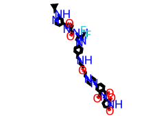 O=C1CCC(N2C(=O)c3ccc(N4CCN(CCOCCNCc5ccc(-n6cc(NC(=O)c7coc(-c8ccnc(NCC9CC9)c8)n7)c(C(F)F)n6)cc5)CC4)cc3C2=O)C(=O)N1